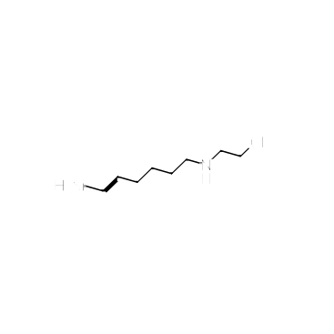 CCCNCCCCC=C[SiH3]